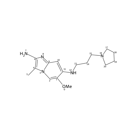 COc1cn2c(C)c(N)nc2cc1NCCCN1CCCC1